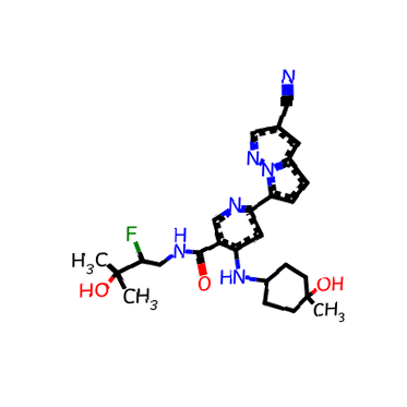 CC1(O)CCC(Nc2cc(-c3ccc4cc(C#N)cnn34)ncc2C(=O)NCC(F)C(C)(C)O)CC1